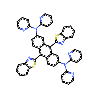 c1ccc(N(c2ccc3c(-c4nc5ccccc5s4)c4ccc(N(c5ccccn5)c5ccccn5)cc4c(-c4nc5ccccc5s4)c3c2)c2ccccn2)nc1